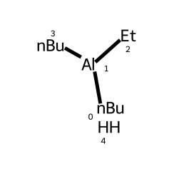 CCC[CH2][Al]([CH2]C)[CH2]CCC.[HH]